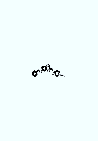 CC(=O)N1CCC(NCC2COc3ccc(OCc4ccccc4)cc3O2)CC1